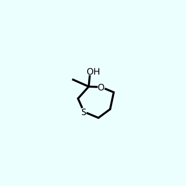 CC1(O)CSCCCO1